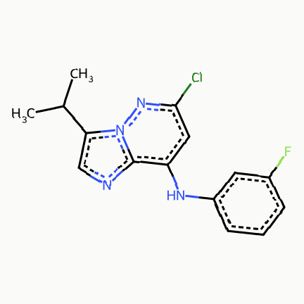 CC(C)c1cnc2c(Nc3cccc(F)c3)cc(Cl)nn12